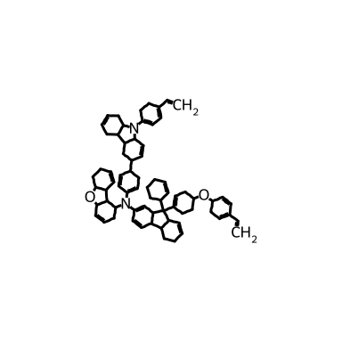 C=CC1=CCC(OC2CC=C(C3(C4C=CCCC4)C4C=C(N(C5=CCC(C6C=CC7C(C6)C6CC=CCC6N7C6=CC=C(C=C)CC6)C=C5)C5CC=CC6OC7CCC=CC7C65)C=CC4C4CCC=CC43)CC2)C=C1